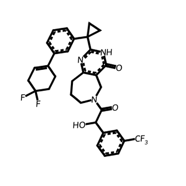 O=C(C(O)c1cccc(C(F)(F)F)c1)N1CCCc2nc(C3(c4cccc(C5=CCC(F)(F)CC5)c4)CC3)[nH]c(=O)c2C1